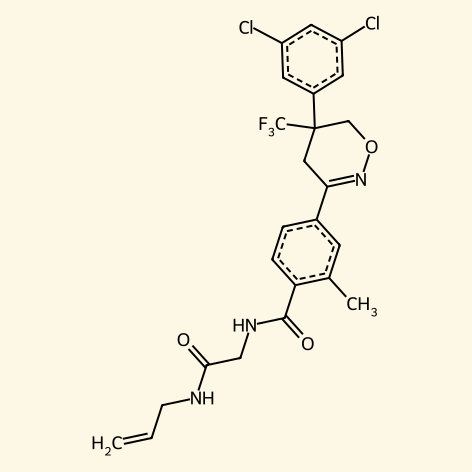 C=CCNC(=O)CNC(=O)c1ccc(C2=NOCC(c3cc(Cl)cc(Cl)c3)(C(F)(F)F)C2)cc1C